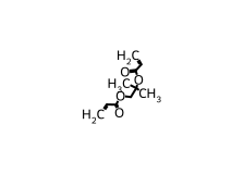 C=CC(=O)OCC(C)(C)OC(=O)C=C